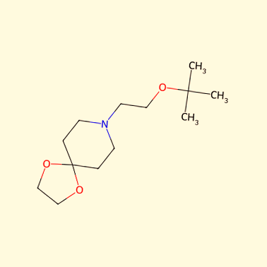 CC(C)(C)OCCN1CCC2(CC1)OCCO2